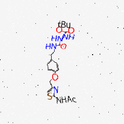 CC(=O)Nc1nc(COc2ccc(CCNC(=O)NNC(=O)OC(C)(C)C)cc2)cs1